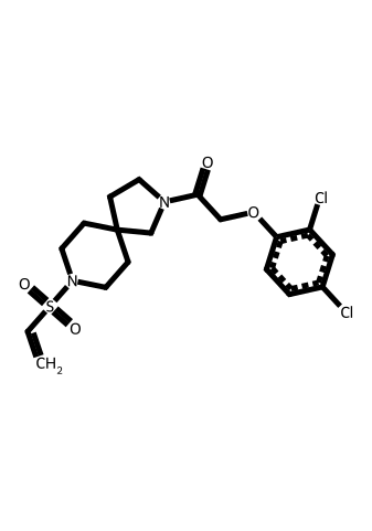 C=CS(=O)(=O)N1CCC2(CCN(C(=O)COc3ccc(Cl)cc3Cl)C2)CC1